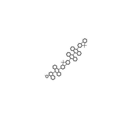 COc1ccc(-c2c3ccccc3c(-c3ccc4c(c3)C(C)(C)c3cc(-c5c6ccccc6c(-c6c7ccccc7c(-c7ccc8c(c7)C(C)(C)c7ccccc7-8)c7ccccc67)c6ccccc56)ccc3-4)c3ccccc23)c2ccccc12